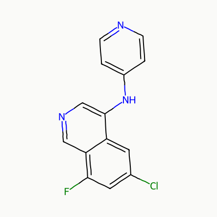 Fc1cc(Cl)cc2c(Nc3ccncc3)cncc12